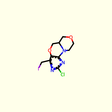 Clc1nc(CI)c2c(n1)N1CCOCC1CO2